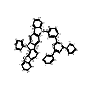 c1ccc(-c2cc(-c3ccccc3)nc(-c3cccc(-n4c5ccccc5c5cc6c(cc54)c4ccc5c7ccccc7oc5c4n6-c4ccccc4)c3)n2)cc1